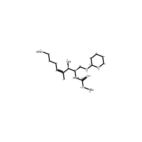 CCCCCCCCCCCCC/C=C(/C)[C@@H](O)[C@@H](COC1CCCCO1)NC(=O)OC(C)(C)C